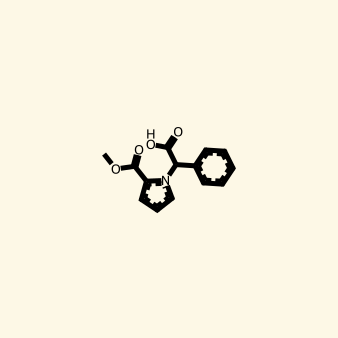 COC(=O)c1cccn1C(C(=O)O)c1ccccc1